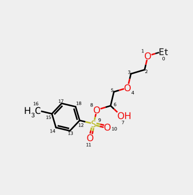 CCOCCOCC(O)OS(=O)(=O)c1ccc(C)cc1